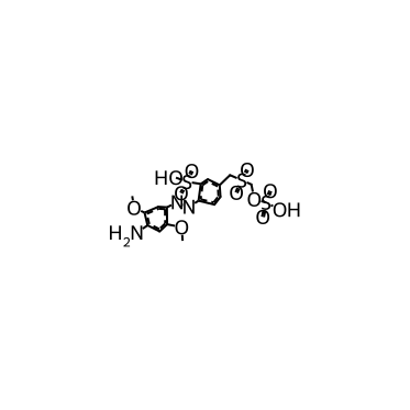 COc1cc(N=Nc2ccc(CS(=O)(=O)COS(=O)(=O)O)cc2S(=O)(=O)O)c(OC)cc1N